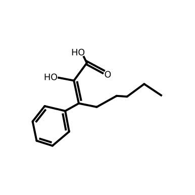 CCCCCC(=C(O)C(=O)O)c1ccccc1